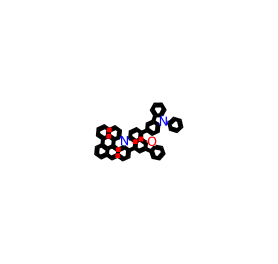 c1ccc(-c2cccc3cccc(-c4ccccc4N(c4ccc(-c5ccc6c(c5)c5ccccc5n6-c5ccccc5)cc4)c4ccccc4-c4ccc5oc6ccccc6c5c4)c23)cc1